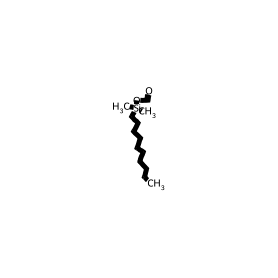 CCCCCCCCCC[Si](C)(C)OC=O